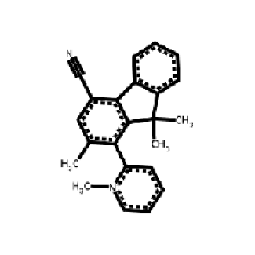 Cc1cc(C#N)c2c(c1-c1cccc[n+]1C)C(C)(C)c1ccccc1-2